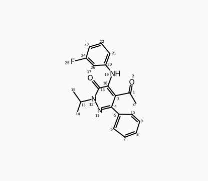 CC(=O)c1c(-c2ccccc2)nn(C(C)C)c(=O)c1Nc1cccc(F)c1